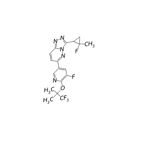 CC1(F)CC1c1nnc2ccc(-c3cnc(OC(C)(C)C(F)(F)F)c(F)c3)nn12